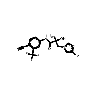 CC(O)(Cn1cnc(Br)c1)C(=O)Nc1ccc(C#N)c(C(F)(F)F)c1